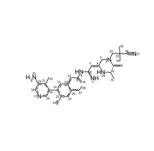 C=CN(C/C(=C/C(=N)NC(=C)/C=c1/cc(-c2cncc(N)c2C)c(F)c/c1=C/C)NCC)CC(C)(C)C#N